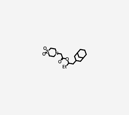 CCC(CC1CC2CCCC(C2)C1)OC(=O)CN1CCS(=O)(=O)CC1